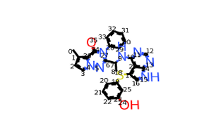 Cc1ccn2nc(C(C)Nc3ncnc4[nH]cc(Sc5cccc(O)c5)c34)n(-c3ccccc3)c(=O)c12